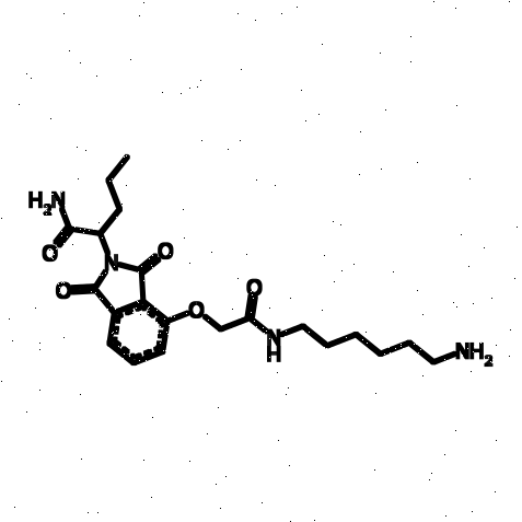 CCCC(C(N)=O)N1C(=O)c2cccc(OCC(=O)NCCCCCCN)c2C1=O